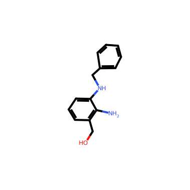 Nc1c(CO)cccc1NCc1ccccc1